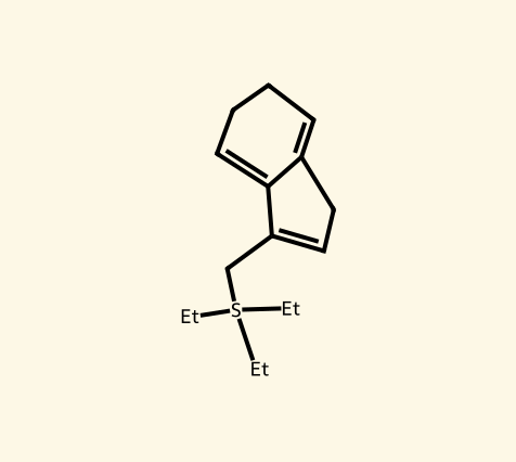 CCS(CC)(CC)CC1=CCC2=CCCC=C21